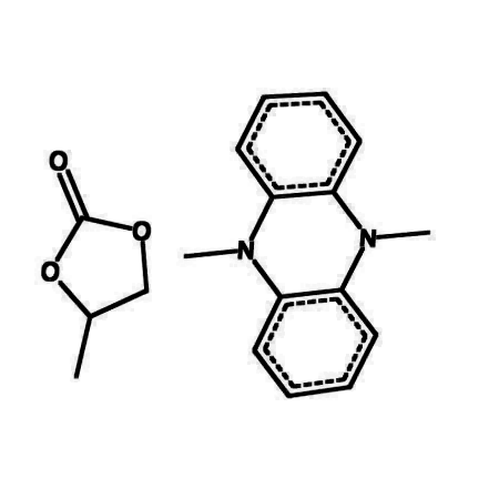 CC1COC(=O)O1.CN1c2ccccc2N(C)c2ccccc21